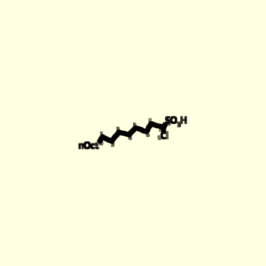 CCCCCCCCCCCCCCCC(Cl)S(=O)(=O)O